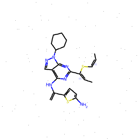 C=C(Nc1nc(/C(=C/C)S/C=C\C)nc2c1cnn2C1CCCCC1)c1ccc(N)s1